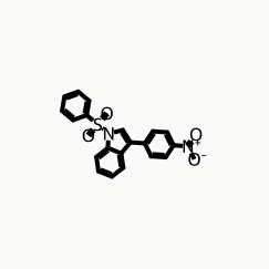 O=[N+]([O-])c1ccc(-c2cn(S(=O)(=O)c3ccccc3)c3ccccc23)cc1